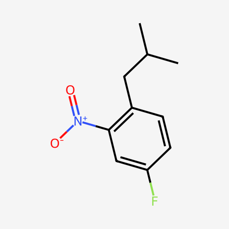 CC(C)Cc1ccc(F)cc1[N+](=O)[O-]